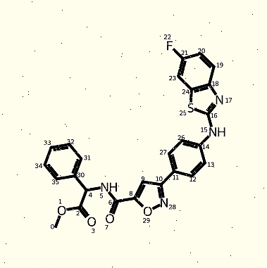 COC(=O)C(NC(=O)c1cc(-c2ccc(Nc3nc4ccc(F)cc4s3)cc2)no1)c1ccccc1